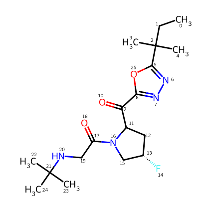 CCC(C)(C)c1nnc(C(=O)C2C[C@H](F)CN2C(=O)CNC(C)(C)C)o1